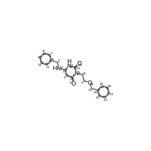 O=c1cc(NCc2ccccc2)[nH]c(=O)n1CCOCc1ccccc1